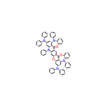 c1ccc(N(c2ccccc2)c2cc3c4c(c2)N(c2ccccc2)c2ccccc2OB4c2cc4c(cc2O3)N(c2ccccc2)c2cc(N(c3ccccc3)c3ccccc3)cc3c2B4Oc2ccccc2N3c2ccccc2)cc1